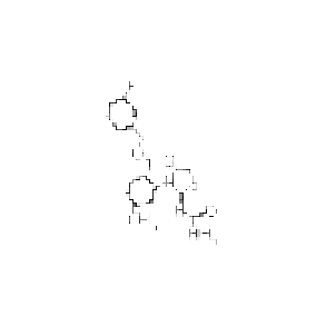 Cc1ccc(COCc2cccc(F)c2)c(N2C(=O)CSC2=NC(N)=O)c1